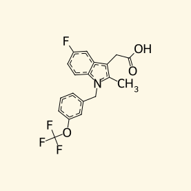 Cc1c(CC(=O)O)c2cc(F)ccc2n1Cc1cccc(OC(F)(F)F)c1